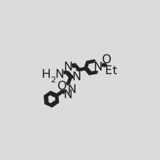 CCC(=O)N1CC=C(c2cnc(N)c(-c3nnc(-c4ccccc4)o3)n2)CC1